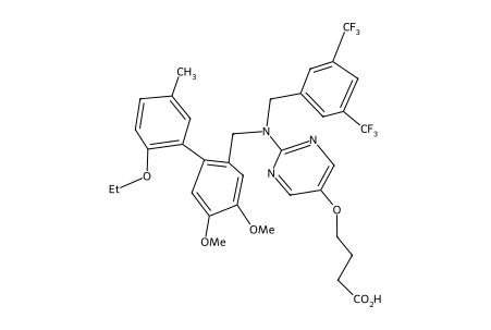 CCOc1ccc(C)cc1-c1cc(OC)c(OC)cc1CN(Cc1cc(C(F)(F)F)cc(C(F)(F)F)c1)c1ncc(OCCCC(=O)O)cn1